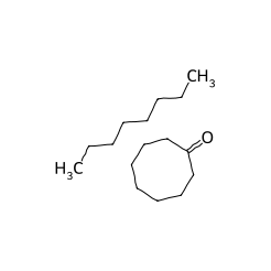 CCCCCCCC.O=C1CCCCCCC1